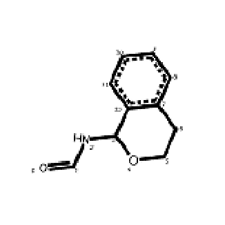 O=CNC1OCCc2ccccc21